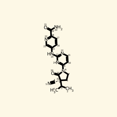 CC(C)[C@]1(C#N)CCN(c2ccnc(Nc3ccc(C(N)=O)nc3)n2)C1=O